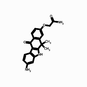 CC1(C)c2cc(OCC(N)=O)ccc2C(=O)c2c1[nH]c1cc(N)ccc21